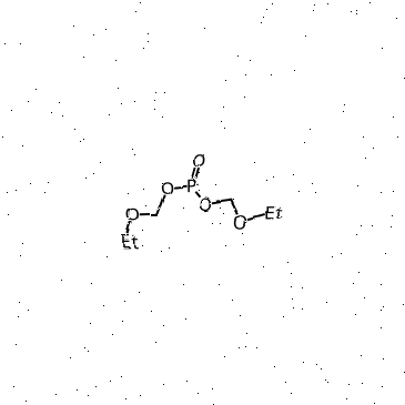 CCOCO[P](=O)OCOCC